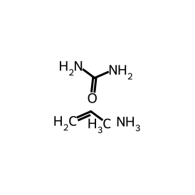 C=CC.N.NC(N)=O